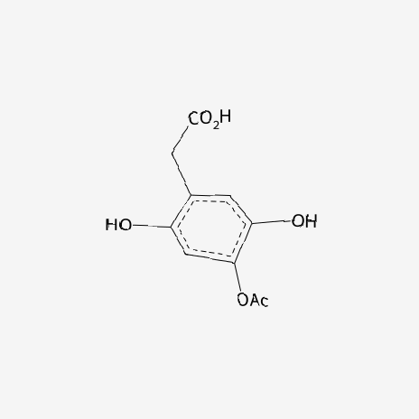 CC(=O)Oc1cc(O)c(CC(=O)O)cc1O